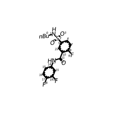 CCCCNS(=O)(=O)c1ccc(F)c(C(=O)Nc2ccc(F)c(F)c2)c1